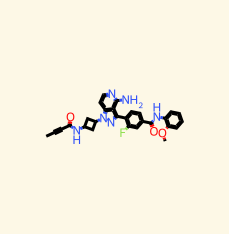 CC#CC(=O)NC1CC(n2nc(-c3ccc(C(=O)Nc4ccccc4OC)cc3F)c3c(N)nccc32)C1